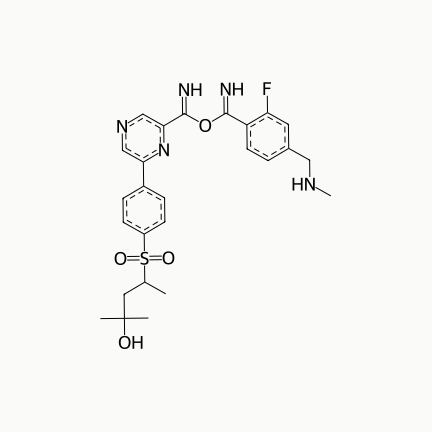 CNCc1ccc(C(=N)OC(=N)c2cncc(-c3ccc(S(=O)(=O)C(C)CC(C)(C)O)cc3)n2)c(F)c1